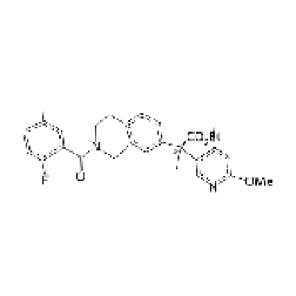 CCOC(=O)[C@@](C)(c1ccc2c(c1)CN(C(=O)c1cc(C)ccc1F)CC2)c1cnc(OC)cc1C